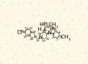 Cc1ccc2c(c1)nc(C(C)(C)O)n2C1CCN(CC2Cc3ccc(Cl)cc3C2)CC1